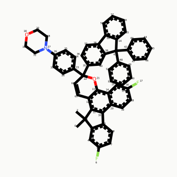 CC1(C)c2cc(F)ccc2-c2c1c1c(c3cc(F)ccc23)OC(c2ccc(N3CCOCC3)cc2)(c2ccc3c(c2)C(c2ccccc2)(c2ccccc2)c2ccccc2-3)C=C1